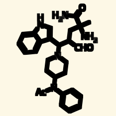 CC(=O)N(c1ccccc1)C1CCN(C(c2c[nH]c3ccccc23)C(C=O)CC(C)(N)C(N)=O)CC1